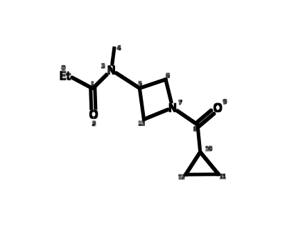 CCC(=O)N(C)C1CN(C(=O)C2CC2)C1